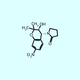 CC1(C)Oc2cc([N+](=O)[O-])ccc2[C@@H](N2CCCC2=O)[C@@H]1O